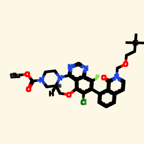 CC(C)(C)OC(=O)N1CCN2c3ncnc4c(F)c(-c5cccc6ccn(COCC[Si](C)(C)C)c(=O)c56)c(Cl)c(c34)OC[C@@H]2C1